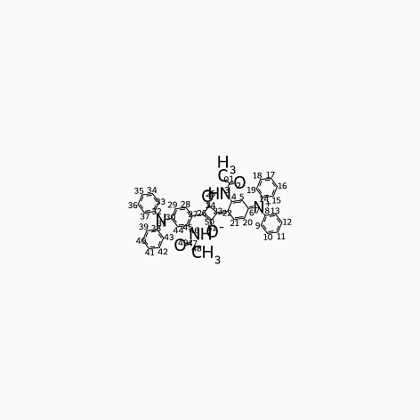 CC(=O)NC1=CC(=[N+](c2ccccc2)c2ccccc2)C=C/C1=C1/C(=O)C(c2ccc(N(c3ccccc3)c3ccccc3)cc2NC(C)=O)=C1[O-]